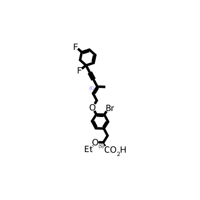 CCO[C@@H](Cc1ccc(OC/C=C(\C)C#CC2(F)C=CC=C(F)C2)c(Br)c1)C(=O)O